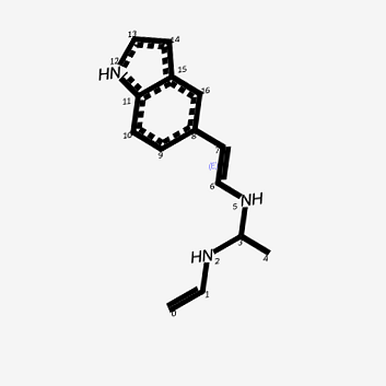 C=CNC(C)N/C=C/c1ccc2[nH]ccc2c1